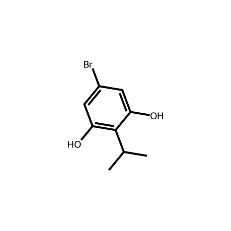 CC(C)c1c(O)cc(Br)cc1O